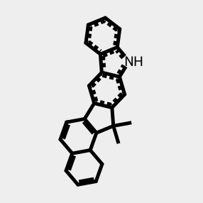 CC1(C)C2=C(C=CC3=CC=CCC32)c2cc3c(cc21)[nH]c1ccccc13